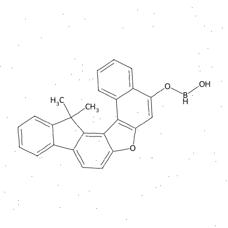 CC1(C)c2ccccc2-c2ccc3oc4cc(OBO)c5ccccc5c4c3c21